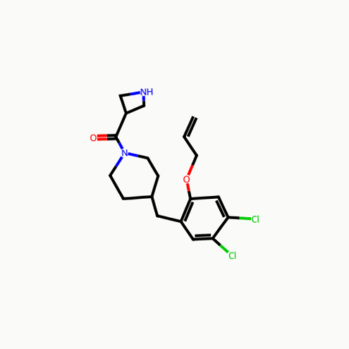 C=CCOc1cc(Cl)c(Cl)cc1CC1CCN(C(=O)C2CNC2)CC1